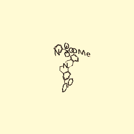 COc1ccc2c(c1OS(=O)(=O)c1cccnc1)CN1CCc3cc4c(cc3C1C2)OCO4